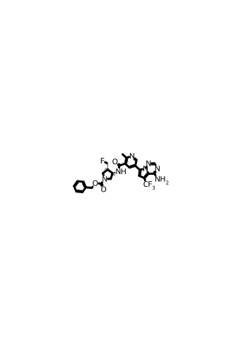 Cc1ncc(-c2cc(C(F)(F)F)c3c(N)ncnn23)cc1C(=O)N[C@@H]1CN(C(=O)OCc2ccccc2)C[C@@H]1CF